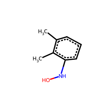 Cc1cccc(NO)c1C